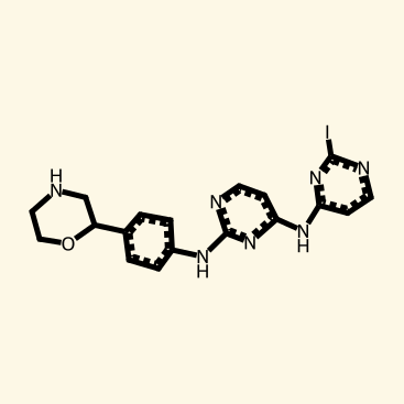 Ic1nccc(Nc2ccnc(Nc3ccc(C4CNCCO4)cc3)n2)n1